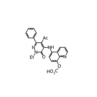 CCn1nc(-c2ccccc2)c(C(C)=O)c(Nc2ccc(OC(=O)O)c3ncccc23)c1=O